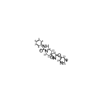 O=C(Nc1ccccc1)N1CCC2(CC1)CC(Oc1cncnc1)=NO2